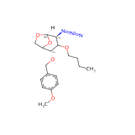 CCCCOC1[C@H](OCc2ccc(OC)cc2)C2CO[C@H](O2)[C@H]1N=[N+]=[N-]